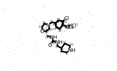 Cl.Cl.O=C(NCC1CCNCC1)NC[C@H]1CN(Cc2ccc(Cl)c(Cl)c2)CCO1